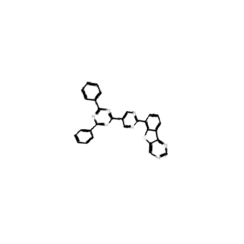 c1ccc(-c2nc(-c3ccccc3)nc(-c3cnc(-c4cccc5c4oc4cncnc45)nc3)n2)cc1